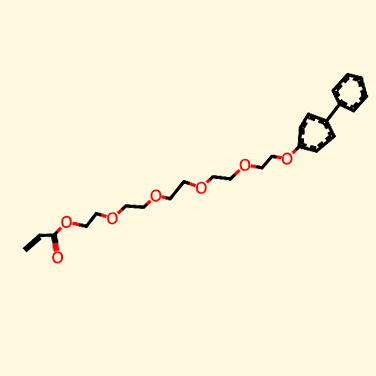 C=CC(=O)OCCOCCOCCOCCOCCOc1ccc(-c2ccccc2)cc1